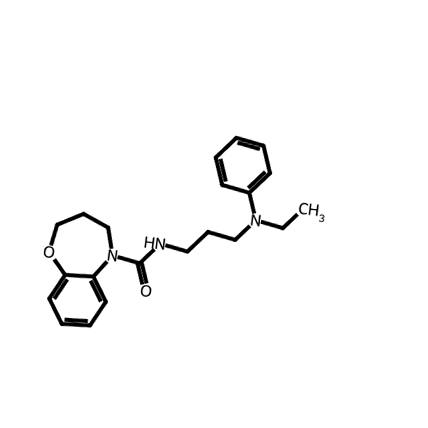 CCN(CCCNC(=O)N1CCCOc2ccccc21)c1ccccc1